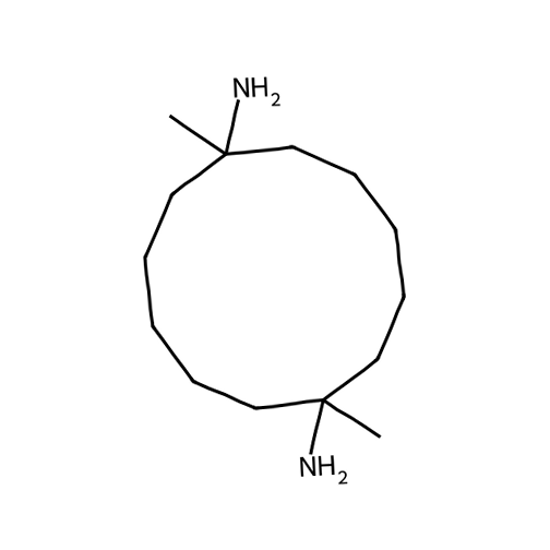 CC1(N)CCCCCC(C)(N)CCCCC1